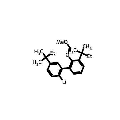 [Li][c]1ccc(C(C)(C)CC)cc1-c1cccc(C(C)(C)CC)c1OCOC